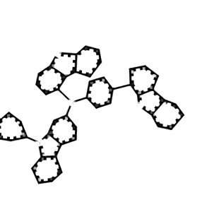 c1ccc(-n2c3ccccc3c3ccc(N(c4ccc(-c5cccc6c5oc5ccccc56)cc4)c4cccc5oc6ccccc6c45)cc32)cc1